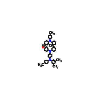 CCCCOc1ccc(N(c2ccc(N(c3ccc(C)cc3)c3cc(C)cc(C)c3)cc2)c2cccc(-c3cccc(N(c4ccc(C)cc4)c4ccccc4C)c3)c2)cc1